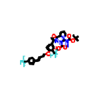 CC(C)(C)OC(=O)NC(=NC(=O)O)N1CCCC1c1nc(-c2ccc(OCC/C=C/c3ccc(C(F)(F)F)cc3)c(C(F)(F)F)c2)co1